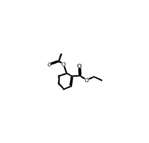 CCOC(=O)C1=CCCCC1OC(C)=O